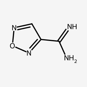 N=C(N)c1cnon1